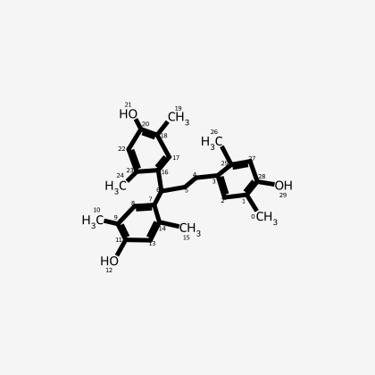 Cc1cc(CCC(c2cc(C)c(O)cc2C)c2cc(C)c(O)cc2C)c(C)cc1O